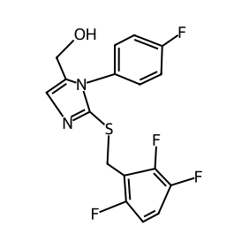 OCc1cnc(SCc2c(F)ccc(F)c2F)n1-c1ccc(F)cc1